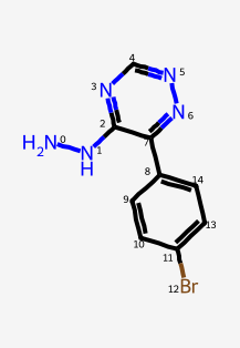 NNc1ncnnc1-c1ccc(Br)cc1